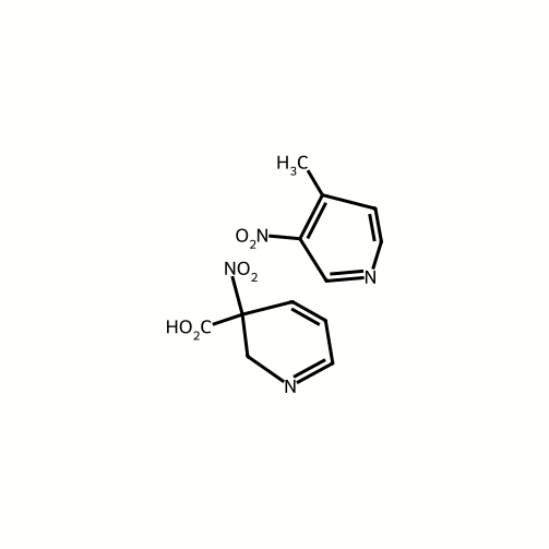 Cc1ccncc1[N+](=O)[O-].O=C(O)C1([N+](=O)[O-])C=CC=NC1